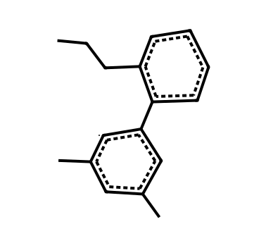 CCCc1ccccc1-c1[c]c(C)cc(C)c1